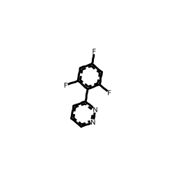 Fc1cc(F)c(-c2cccnn2)c(F)c1